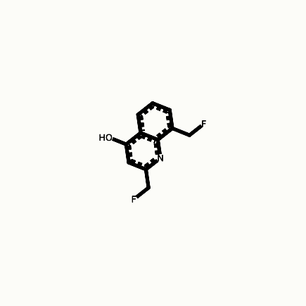 Oc1cc(CF)nc2c(CF)cccc12